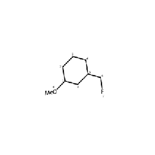 COC1CCCC(CF)C1